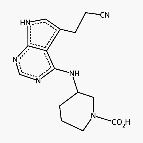 N#CCCc1c[nH]c2ncnc(NC3CCCN(C(=O)O)C3)c12